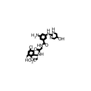 Nc1cc(NC2=NCC(O)CN2)cc(C(=O)NCC(=O)N[C@H](CC(=O)O)c2cc(Cl)cc(I)c2O)c1